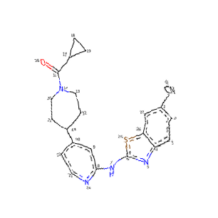 N#Cc1ccc2nc(Nc3cc(C4CCN(C(=O)C5CC5)CC4)ccn3)sc2c1